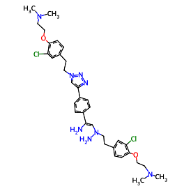 CN(C)CCOc1ccc(CCN(N)/C=C(\N)c2ccc(-c3cn(CCc4ccc(OCCN(C)C)c(Cl)c4)nn3)cc2)cc1Cl